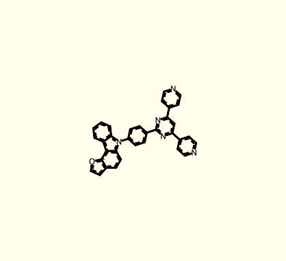 c1ccc2c(c1)c1c3occc3ccc1n2-c1ccc(-c2nc(-c3ccncc3)cc(-c3ccncc3)n2)cc1